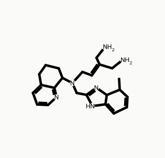 CC1C=CC=C2NC(CN(CC=C(CN)CN)C3CCCc4cccnc43)=NC21